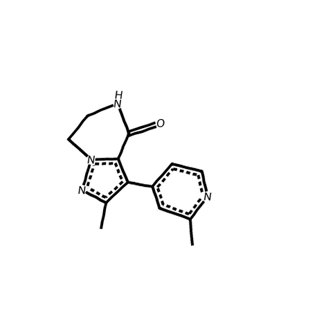 Cc1cc(-c2c(C)nn3c2C(=O)NCC3)ccn1